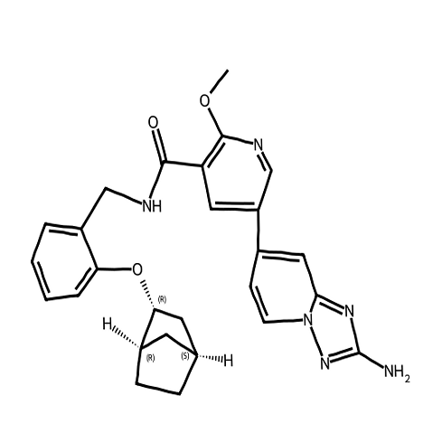 COc1ncc(-c2ccn3nc(N)nc3c2)cc1C(=O)NCc1ccccc1O[C@@H]1C[C@H]2CC[C@@H]1C2